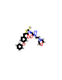 O=C(CN1C(=O)C(=Cc2ccc(Oc3ccccc3)cc2)SC1=S)NCCN1CCOCC1